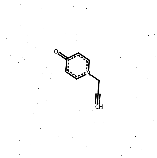 C#CCn1ccc(=O)cc1